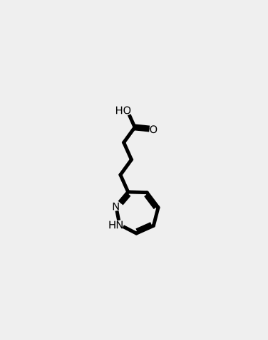 O=C(O)CCCC1=NNC=CC=C1